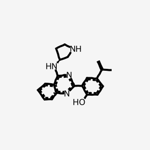 C=C(C)c1ccc(O)c(-c2nc(N[C@H]3CCNC3)c3ccccc3n2)c1